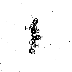 COc1cc(/C=C2/C(C)=C(CC(=O)NCc3cccnc3)c3cc(F)ccc32)cc(O)c1OC(=O)N1CCOCC1